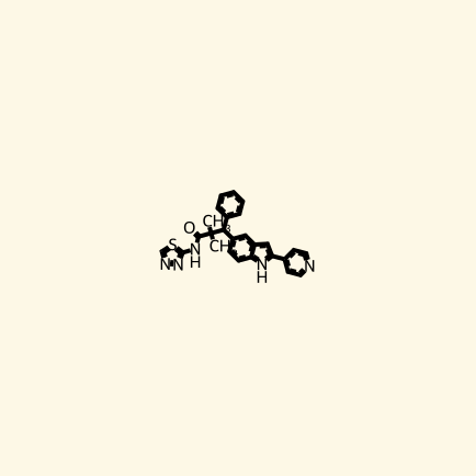 CC(C)(C(=O)Nc1nncs1)C(c1ccccc1)c1ccc2[nH]c(-c3ccncc3)cc2c1